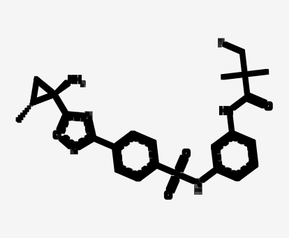 C[C@@H]1C[C@]1(N)c1nc(-c2ccc(S(=O)(=O)Nc3cccc(NC(=O)C(C)(C)CF)c3)cc2)no1